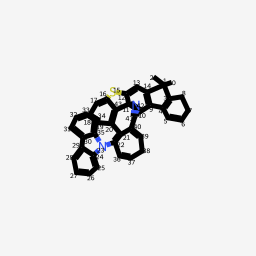 CC1(C)C2=C(C=CCC2)c2cc3c(cc21)sc1cccc(C2=C(n4c5ccccc5c5ccccc54)C=CCC=C2C#N)c13